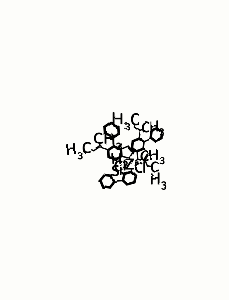 CCC1=Cc2c(ccc(C(C)CC)c2-c2ccccc2)[CH]1[Zr]([Cl])([Cl])([c]1cccc2c1[SiH2]c1ccccc1-2)[CH]1C(CC)=Cc2c1ccc(C(C)CC)c2-c1ccccc1